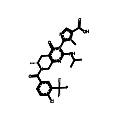 CC(C)Nc1nc2c(c(=O)n1-c1ncc(C(=O)O)n1C)C[C@@H](C)N(C(=O)c1ccc(Cl)c(C(F)(F)F)c1)C2